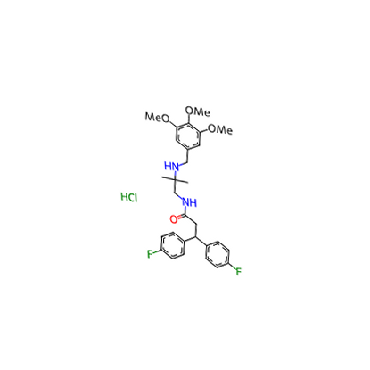 COc1cc(CNC(C)(C)CNC(=O)CC(c2ccc(F)cc2)c2ccc(F)cc2)cc(OC)c1OC.Cl